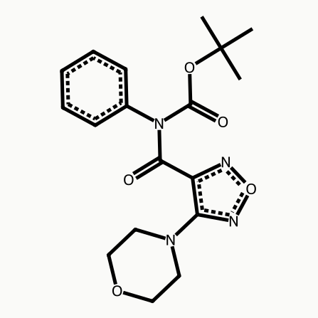 CC(C)(C)OC(=O)N(C(=O)c1nonc1N1CCOCC1)c1ccccc1